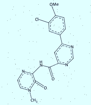 COc1ccc(-c2cc(C(=O)Nc3nccn(C)c3=O)ncn2)cc1Cl